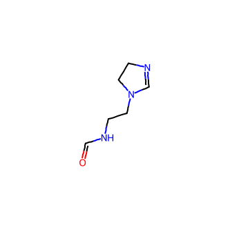 O=CNCCN1C=NCC1